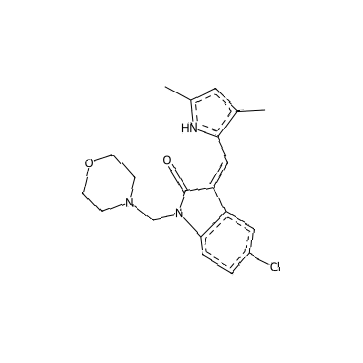 Cc1cc(C)c(/C=C2\C(=O)N(CN3CCOCC3)c3ccc(Cl)cc32)[nH]1